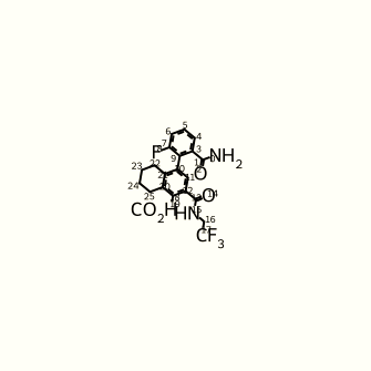 NC(=O)c1cccc(F)c1-c1cc(C(=O)NCC(F)(F)F)c(C(=O)O)c2c1CCCC2